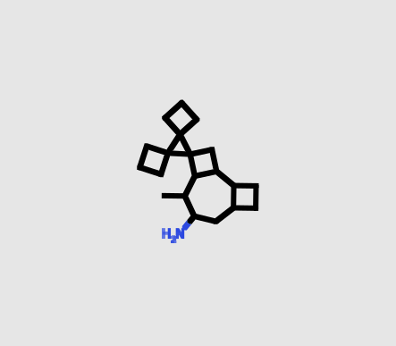 CC1C(N)CC2CCC2C2CC3(C12)C1(CCC1)C31CCC1